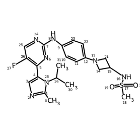 Cc1ncc(-c2nc(Nc3ccc(N4CC(NS(C)(=O)=O)C4)cc3)ncc2F)n1C(C)C